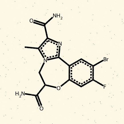 Cc1c(C(N)=O)nc2n1CC(C(N)=O)Oc1cc(F)c(Br)cc1-2